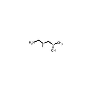 C[SiH](O)CNCN